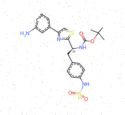 CC(C)(C)OC(=O)N[C@@H](Cc1ccc(N[SH](=O)=O)cc1)c1nc(-c2cccc(N)c2)cs1